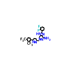 NC1=NN(Cc2ccc(-c3ccc(C(F)(F)F)cc3C(F)(F)F)nn2)Cc2[nH]c(-c3cccc(F)c3F)nc21